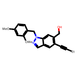 CCC#Cc1cc2cnn(Cc3ccc(OC)cc3OC)c2cc1CO